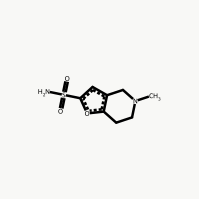 CN1CCc2oc(S(N)(=O)=O)cc2C1